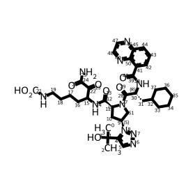 CC(C)(O)c1cnnn1[C@H]1C[C@@H](C(=O)NC(CCCCNC(=O)O)C(=O)C(N)=O)N(C(=O)[C@@H](CC2CCCCC2)NC(=O)c2cccc3nccnc23)C1